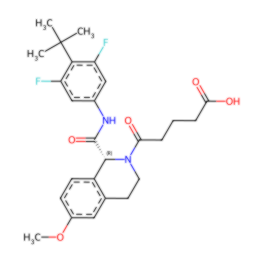 COc1ccc2c(c1)CCN(C(=O)CCCC(=O)O)[C@H]2C(=O)Nc1cc(F)c(C(C)(C)C)c(F)c1